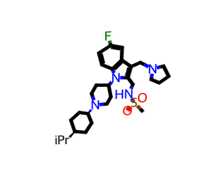 CC(C)[C@H]1CC[C@@H](N2CCC(n3c(CNS(C)(=O)=O)c(CN4CCCC4)c4cc(F)ccc43)CC2)CC1